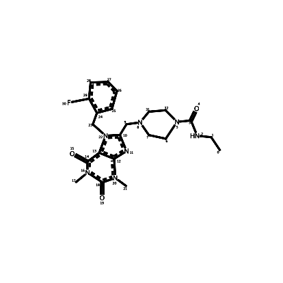 CCNC(=O)N1CCN(Cc2nc3c(c(=O)n(C)c(=O)n3C)n2Cc2ccccc2F)CC1